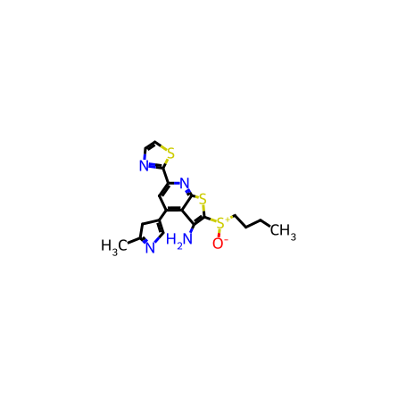 CCCC[S+]([O-])c1sc2nc(-c3nccs3)cc(C3=CN=C(C)C3)c2c1N